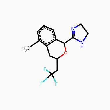 Cc1cccc2c1CC(CC(F)(F)F)OC2C1=NCCN1